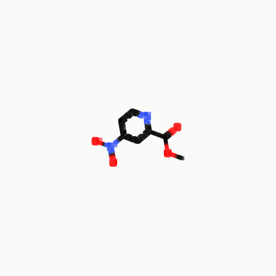 COC(=O)c1cc([N+](=O)[O-])ccn1